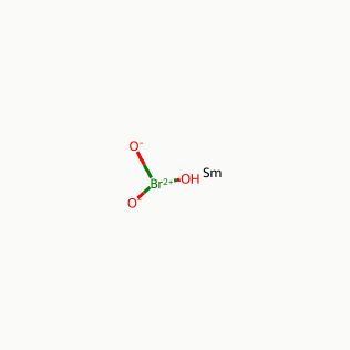 [O-][Br+2]([O-])O.[Sm]